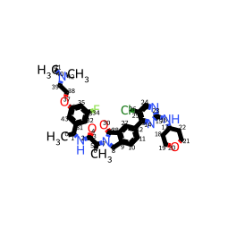 CC(NC(=O)C(C)N1Cc2ccc(-c3nc(NC4CCOCC4)ncc3Cl)cc2C1=O)c1cc(F)cc(OCCN(C)C)c1